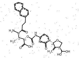 C=C1[C@H](C(O)O)CO[C@H]1n1ccc(NC(=O)O[C@H](C(=O)O)[C@H](C)N(N)C(=O)CCc2ccc3ccccc3c2)nc1=O